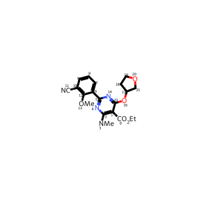 CCOC(=O)c1c(NC)nc(-c2cccc(C#N)c2OC)nc1OC1CCOC1